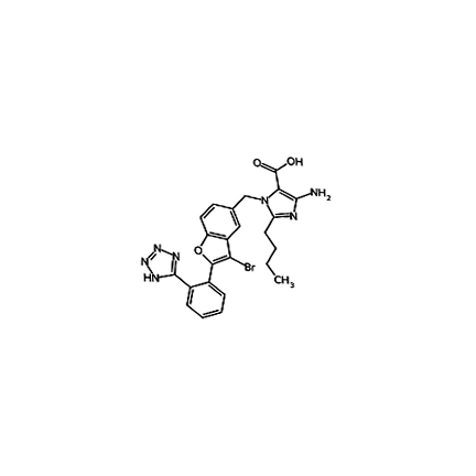 CCCCc1nc(N)c(C(=O)O)n1Cc1ccc2oc(-c3ccccc3-c3nnn[nH]3)c(Br)c2c1